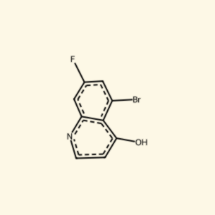 Oc1ccnc2cc(F)cc(Br)c12